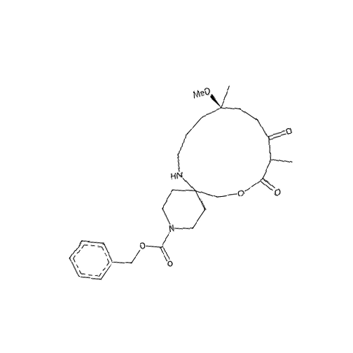 CO[C@]1(C)CCCNC2(CCN(C(=O)OCc3ccccc3)CC2)COC(=O)C(C)C(=O)CC1